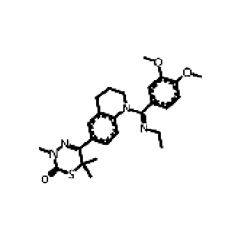 CCN=C(c1ccc(OC)c(OC)c1)N1CCCc2cc(C3=NN(C)C(=O)SC3(C)C)ccc21